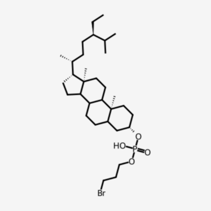 CC[C@H](CC[C@@H](C)[C@H]1CCC2C3CCC4C[C@@H](OP(=O)(O)OCCCBr)CC[C@]4(C)C3CC[C@@]21C)C(C)C